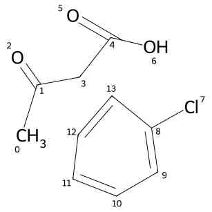 CC(=O)CC(=O)O.Clc1ccccc1